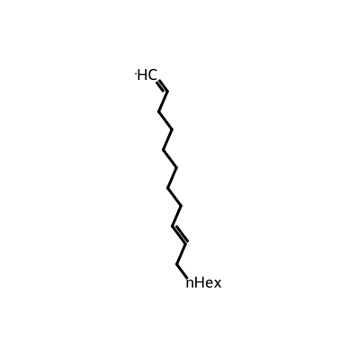 [CH]=CCCCCCCC=CCCCCCCC